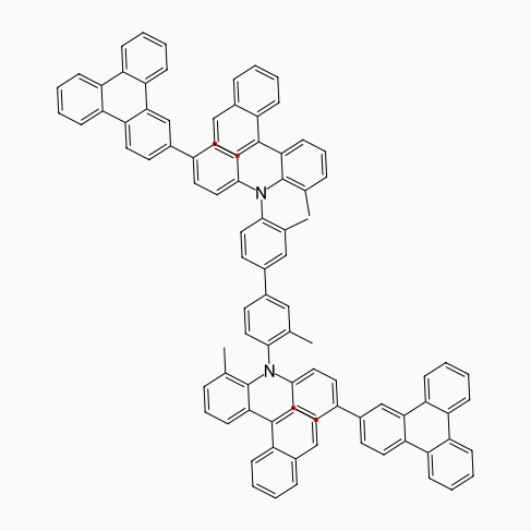 Cc1cc(-c2ccc(N(c3ccc(-c4ccc5c6ccccc6c6ccccc6c5c4)cc3)c3c(C)cccc3-c3cccc4ccccc34)c(C)c2)ccc1N(c1ccc(-c2ccc3c4ccccc4c4ccccc4c3c2)cc1)c1c(C)cccc1-c1cccc2ccccc12